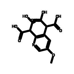 COc1cnc(C(C(=O)O)C(=O)O)c(C(C(=O)O)C(=O)O)c1